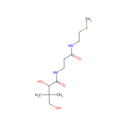 CSCCNC(=O)CCNC(=O)C(O)C(C)(C)CO